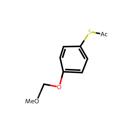 COCOc1ccc(SC(C)=O)cc1